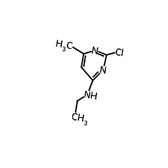 CCNc1cc(C)nc(Cl)n1